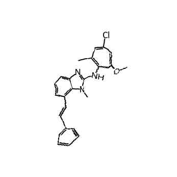 COc1cc(Cl)cc(C)c1Nc1nc2cccc(C=Cc3ccccc3)c2n1C